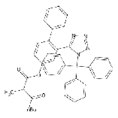 CCCCC(=O)C(C)C(=O)Oc1ccc(-c2ccccc2)c(-c2nnnn2C(c2ccccc2)(c2ccccc2)c2ccccc2)c1